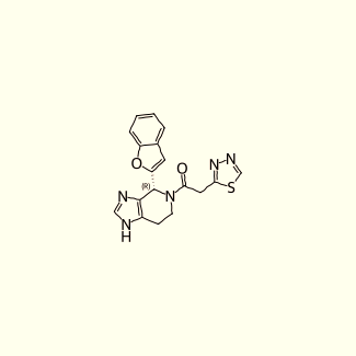 O=C(Cc1nncs1)N1CCc2[nH]cnc2[C@@H]1c1cc2ccccc2o1